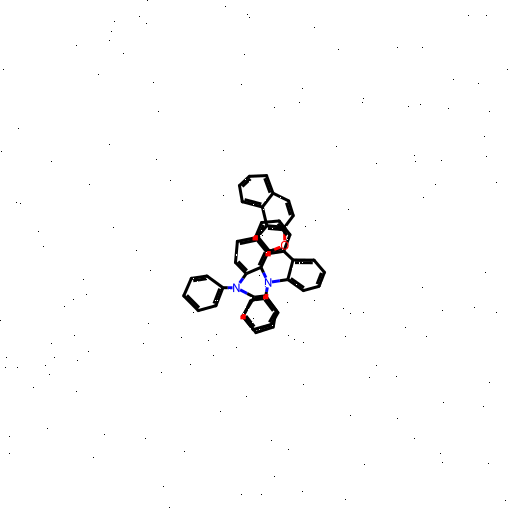 C1=C=C(c2ccccc2N(C2=CC=CCC2)c2c(N(c3ccccc3)c3ccccc3)ccc3c2oc2ccc4ccccc4c23)C=CC=1